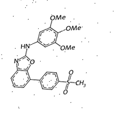 COc1cc(Nc2nc3cccc(-c4ccc(S(C)(=O)=O)cc4)c3o2)cc(OC)c1OC